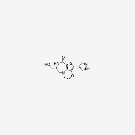 O=C1N[C@@H](CO)CN2CCOc3c(-c4cn[nH]c4)sc1c32